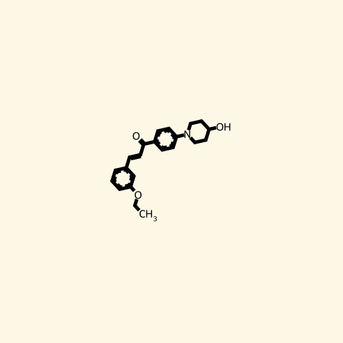 CCOc1cccc(C=CC(=O)c2ccc(N3CCC(O)CC3)cc2)c1